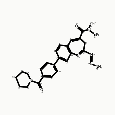 CCCN(CCC)C(=O)C1=Cc2ccc(-c3ccc(C(=O)N4CCCCC4)cc3)cc2N=C(N=NN)C1